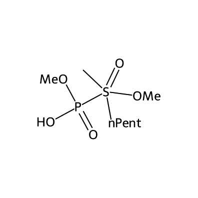 CCCCCS(C)(=O)(OC)P(=O)(O)OC